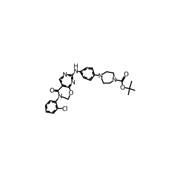 CC(C)(C)OC(=O)N1CCN(c2ccc(Nc3ncc4c(n3)OCN(c3ccccc3Cl)C4=O)cc2)CC1